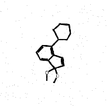 COC1(OC)C=Cc2c(C3CCCCC3)cccc21